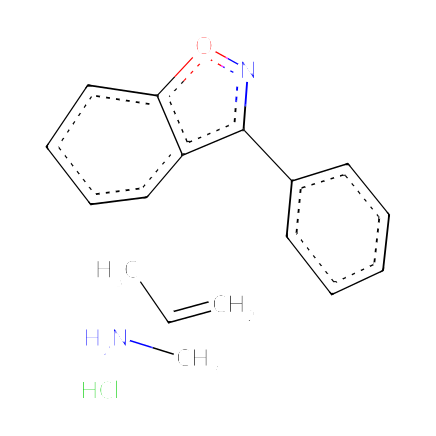 C=CC.CN.Cl.c1ccc(-c2noc3ccccc23)cc1